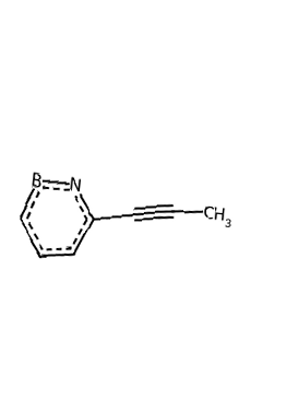 CC#Cc1cccbn1